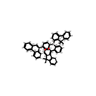 CC1(C)C2=C(CCC=C2)c2c(-c3ccccc3N(c3ccc(-c4cc5ccccc5c5ccccc45)cc3)c3cccc4c3C(C)(C)c3ccccc3-4)cccc21